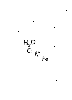 O.[C].[Fe].[N]